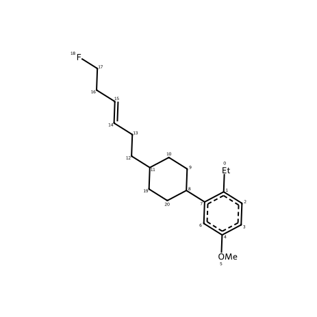 CCc1ccc(OC)cc1C1CCC(CC/C=C/CCF)CC1